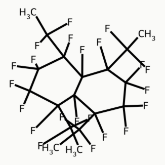 CC(F)(F)C1(F)C(F)(F)C(F)(F)C(F)(C(C)(F)F)C2(F)C(F)(C(C)(F)F)C(F)(F)C(F)(F)C(F)(C(C)(F)F)C12F